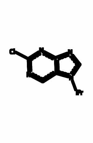 CC(C)n1cnc2nc(Cl)ncc21